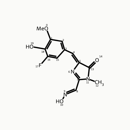 COc1cc(/C=C2\N=C(C=NO)N(C)C2=O)cc(F)c1O